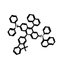 CC1(C)c2ccccc2-c2ccc(-c3c4c(c(-c5cccc6ccccc56)c5ccc(N(c6ccccc6)c6ccccc6)cc35)=CC(N(c3ccccc3)c3cccc5ccccc35)CC=4)cc21